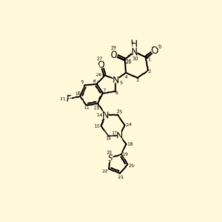 O=C1CCC(N2Cc3c(cc(F)cc3N3CCN(Cc4cccs4)CC3)C2=O)C(=O)N1